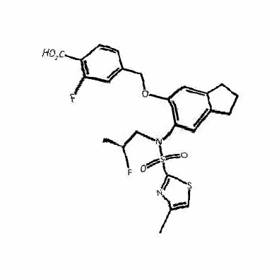 Cc1csc(S(=O)(=O)N(C[C@H](C)F)c2cc3c(cc2OCc2ccc(C(=O)O)c(F)c2)CCC3)n1